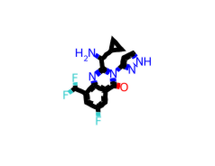 NC(c1nc2c(C(F)F)cc(F)cc2c(=O)n1-c1cc[nH]n1)C1CC1